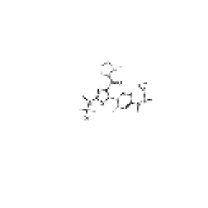 Cc1cc(N[C@H](C)C2CC2)ncc1-c1sc([C@H](C)C(C)(C)O)nc1C(=O)N1CCC[C@@H]1C